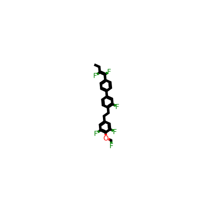 CC/C(F)=C(\F)c1ccc(-c2ccc(CCc3cc(F)c(OCF)c(F)c3)c(F)c2)cc1